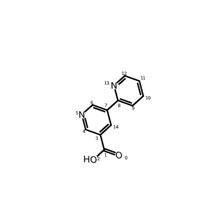 O=C(O)c1cncc(-c2ccccn2)c1